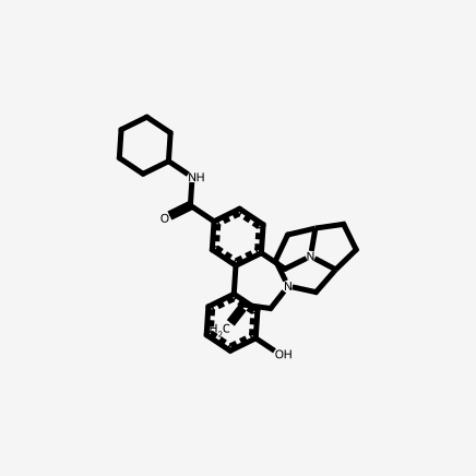 C=CCN1CCC2CCC(C1)N2Cc1ccc(C(=O)NC2CCCCC2)cc1-c1cccc(O)c1